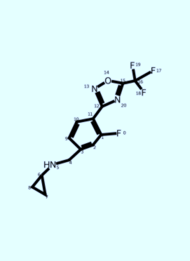 Fc1cc(CNC2CC2)ccc1-c1noc(C(F)(F)F)n1